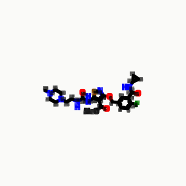 COC(=O)c1c(OCc2ccc(F)c(C(=O)NC3CC3)c2)nsc1NC(=O)NCCN1CCN(C)CC1